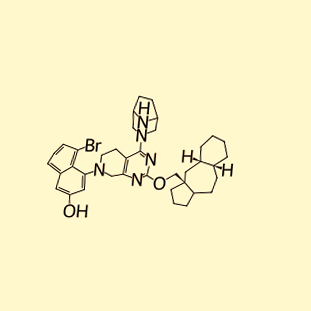 Oc1cc(N2CCc3c(nc(OC[C@]45CCCC4CC[C@H]4CCCC[C@H]4C5)nc3N3CC4CCC(C3)N4)C2)c2c(Br)cccc2c1